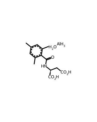 Cc1cc(C)c(C(=O)N[C@@H](CC(=O)O)C(=O)O)c(C)c1.O.[AlH3]